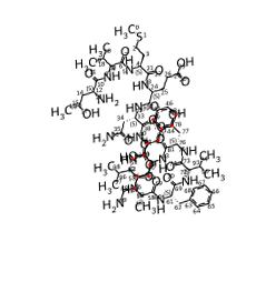 CSCC[C@H](NC(=O)[C@@H](NC(=O)[C@@H](N)C[C@@H](C)O)C(C)C)C(=O)N[C@@H](CCC(=O)O)C(=O)N[C@@H](CC(N)=O)C(=O)N[C@@H](Cc1ccccc1)C(=O)N[C@H](C(=O)N[C@@H](C)C(=O)N[C@@H](Cc1ccccc1)C(=O)N[C@H](C(=O)N[C@@H](CC(=O)O)C(=O)N[C@@H](CCCCN)C(=O)O)C(C)C)C(C)C